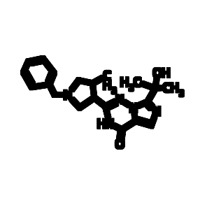 CC1CN(Cc2ccccc2)CC1c1nn2c(C(C)(C)O)ncc2c(=O)[nH]1